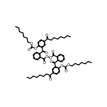 CCCCCCCOC(=O)Oc1ccc(C(=O)CCCCCCC)cc1C(=O)c1ccccc1C(=O)OOC(=O)c1ccccc1C(=O)c1cc(C(=O)CCCCCCC)ccc1OC(=O)OCCCCCCC